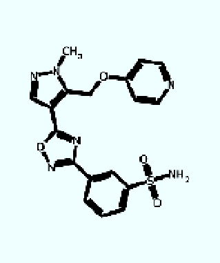 Cn1ncc(-c2nc(-c3cccc(S(N)(=O)=O)c3)no2)c1COc1ccncc1